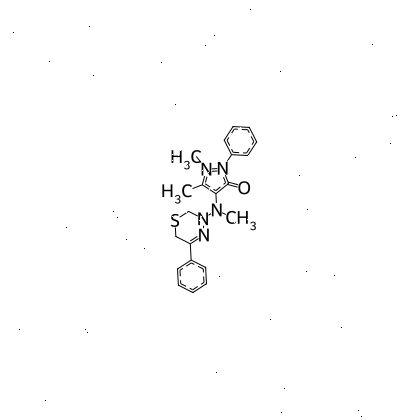 Cc1c(N(C)N2CSCC(c3ccccc3)=N2)c(=O)n(-c2ccccc2)n1C